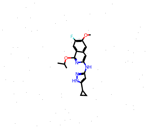 COc1cc2cc(Nc3cc(C4CC4)[nH]n3)nc(OC(C)C)c2cc1F